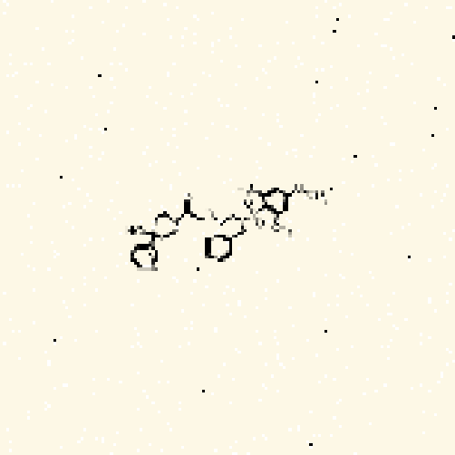 COc1cc(C)c(S(=O)(=O)N(CCOCC(=O)N2CCC(O)(c3cccnc3)CC2)Cc2ccccc2)c(C)c1